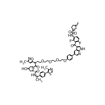 Cc1cc([C@@H](CCOCCOCCOCCOc2ccc(-c3cnc4[nH]cc(C(=O)c5c(F)ccc(NS(=O)(=O)N6CC[C@@H](F)C6)c5F)c4c3)cc2)C(=O)N2C[C@H](O)C[C@H]2C(=O)N[C@@H](C)c2ccc(-c3scnc3C)cc2)on1